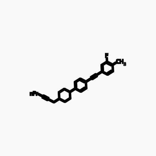 CCCC#CCC1CCC(c2ccc(C#Cc3ccc(C)c(F)c3)cc2)CC1